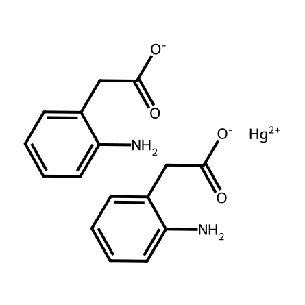 Nc1ccccc1CC(=O)[O-].Nc1ccccc1CC(=O)[O-].[Hg+2]